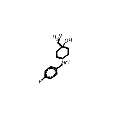 Cl.NC[C@]1(O)CC[C@H](Cc2ccc(F)cc2)CC1